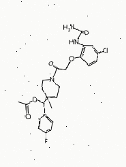 CC(=O)OC(c1ccc(F)cc1)C1(C)CCN(C(=O)COc2ccc(Cl)cc2NC(N)=O)CC1